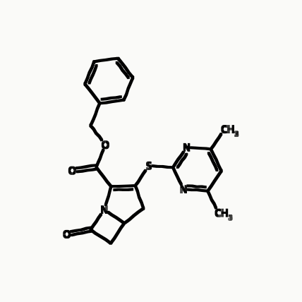 Cc1cc(C)nc(SC2=C(C(=O)OCc3ccccc3)N3C(=O)CC3C2)n1